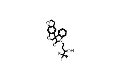 O=C1N(CCC(O)C(F)(F)F)c2ccccc2C12COc1cc3c(cc12)CCO3